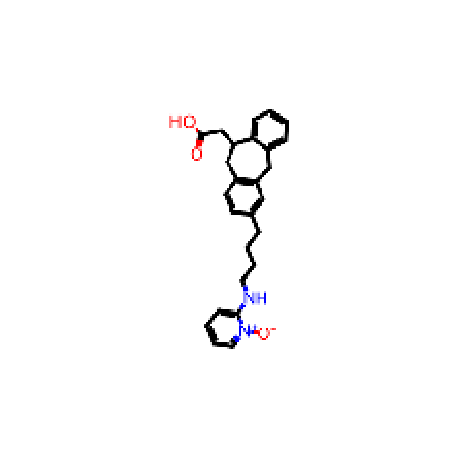 O=C(O)CC1Cc2ccc(CCCCNc3cccc[n+]3[O-])cc2Cc2ccccc21